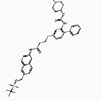 CN1CCC(OC(=O)Nc2cc(CCCC(=O)Nc3ccc4cc(CO[Si](C)(C)C(C)(C)C)ccc4c3)ccc2-c2ccccc2)CC1